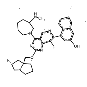 CNC1CCCCN(c2nc(OC[C@@]34CCCN3C[C@H](F)C4)nc3c(F)c(-c4cc(O)cc5ccccc45)ncc23)C1